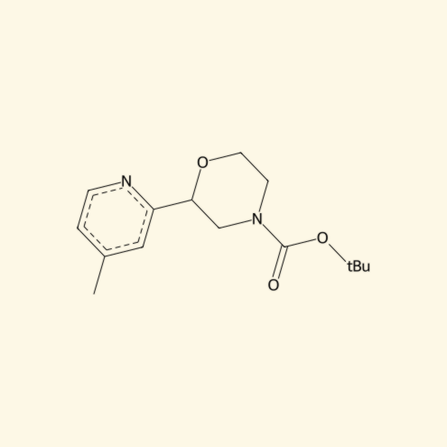 Cc1ccnc(C2CN(C(=O)OC(C)(C)C)CCO2)c1